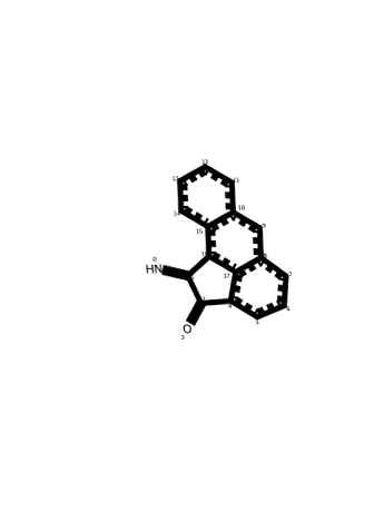 N=C1C(=O)c2cccc3cc4ccccc4c1c23